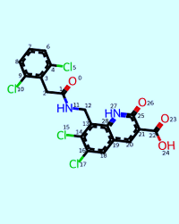 O=C(Cc1c(Cl)cccc1Cl)NCc1c(Cl)c(Cl)cc2cc(C(=O)O)c(=O)[nH]c12